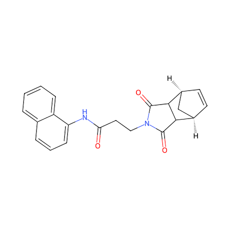 O=C(CCN1C(=O)C2C(C1=O)[C@H]1C=C[C@@H]2C1)Nc1cccc2ccccc12